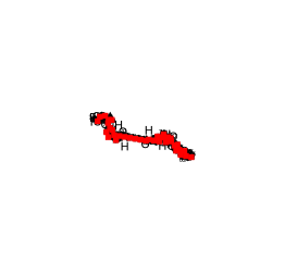 Cc1ccc(NC(=O)C2(c3ccc4c(c3)OC(F)(F)O4)CC2)nc1-c1cccc(C(=O)NCCCCCCCC(=O)NCc2ccc(-c3c4ncn(CC5(O)CCN(C(=O)C[C@@H](C)c6ccccc6)CC5)c(=O)c4nn3C)cc2)c1